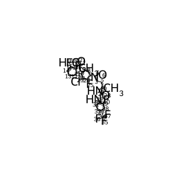 CC(CCN(C=O)c1ccc(-c2cccc(F)c2P(C)(C)=O)c(Cl)c1F)NC(=O)Nc1ccc(C(F)(F)F)cc1F